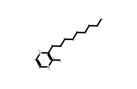 CCCCCCCCCC1=C(C)[N]C=CO1